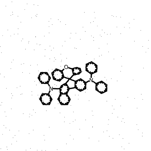 c1ccc(N(c2ccccc2)c2ccc3c(c2)C2(c4ccccc4Oc4ccccc42)c2cc(N(c4ccccc4)c4ccccc4)c4ccccc4c2-3)cc1